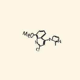 COc1cccc2c(-n3ccnc3C)cc(Cl)nc12